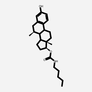 CCCCCNC(=O)O[C@H]1CCC2C3C(CC[C@@]21C)c1ccc(O)cc1C[C@@H]3C